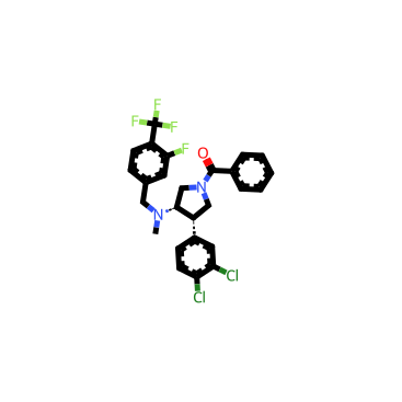 CN(Cc1ccc(C(F)(F)F)c(F)c1)[C@@H]1CN(C(=O)c2ccccc2)C[C@@H]1c1ccc(Cl)c(Cl)c1